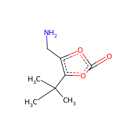 CC(C)(C)c1oc(=O)oc1CN